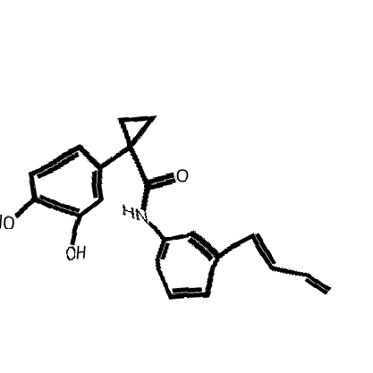 C=C/C=C/c1cccc(NC(=O)C2(c3ccc(O)c(O)c3)CC2)c1